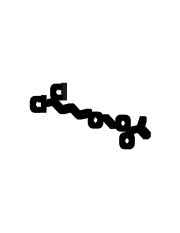 C=C(C)C(=O)OCCOC=CC=CC(Cl)Cl